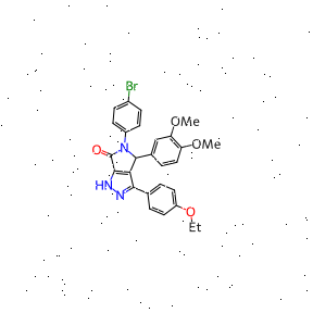 CCOc1ccc(-c2n[nH]c3c2C(c2ccc(OC)c(OC)c2)N(c2ccc(Br)cc2)C3=O)cc1